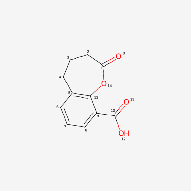 O=C1CCCc2cccc(C(=O)O)c2O1